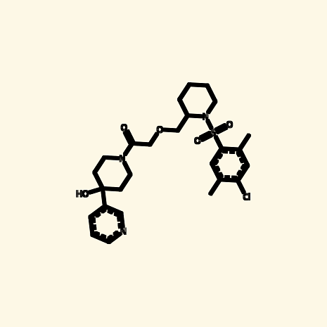 Cc1cc(S(=O)(=O)N2CCCCC2COCC(=O)N2CCC(O)(c3cccnc3)CC2)c(C)cc1Cl